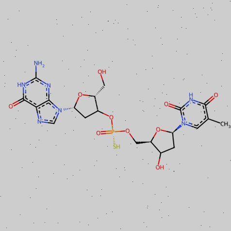 Cc1cn([C@H]2CC(O)[C@@H](CO[P@](=O)(S)OC3C[C@H](n4cnc5c(=O)[nH]c(N)nc54)O[C@@H]3CO)O2)c(=O)[nH]c1=O